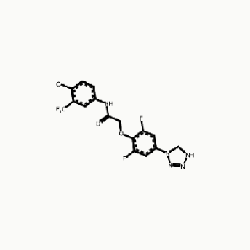 O=C(COc1c(F)cc(N2CNN=N2)cc1F)Nc1ccc(Cl)c(C(F)(F)F)c1